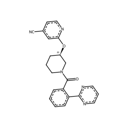 N#Cc1ccnc(O[C@@H]2CCCN(C(=O)c3ccccc3-c3ncccn3)C2)c1